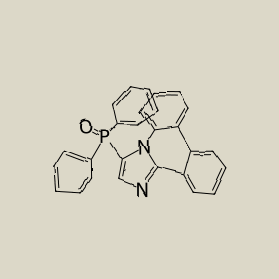 O=P(c1ccccc1)(c1ccccc1)c1cnc2c3ccccc3c3ccccc3n12